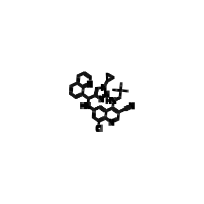 CC(C)(C)CNc1c(C#N)cnc2c(Cl)cc(NC(c3cn(C4CC4)nn3)c3cccc4cccnc34)cc12